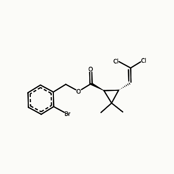 CC1(C)[C@@H](C=C(Cl)Cl)[C@@H]1C(=O)OCc1ccccc1Br